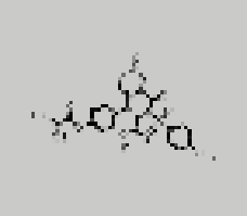 Cc1ccc(S(=O)(=O)N(C(=O)C2C[S+]([O-])CCN2)[C@@H](Cc2ccc(OC(=O)N(C)C)cc2)C(=O)OC(C)C)cc1